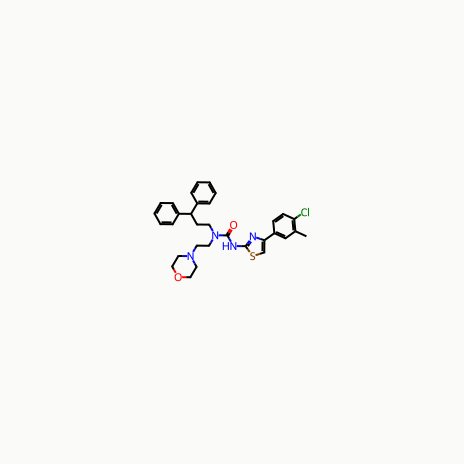 Cc1cc(-c2csc(NC(=O)N(CCC(c3ccccc3)c3ccccc3)CCN3CCOCC3)n2)ccc1Cl